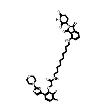 O=C(COc1c(-c2csc(N3CCOCC3)n2)ccc(F)c1F)NCCCCCCCCCCNc1cccc2c1C(=O)N(C1CCC(=O)NC1=O)C2=O